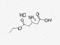 CCOC(=O)CC(N)CC(=O)O.Cl